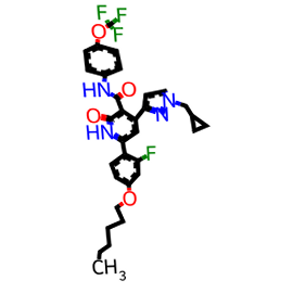 CCCCCCOc1ccc(-c2cc(-c3ccn(CC4CC4)n3)c(C(=O)Nc3ccc(OC(F)(F)F)cc3)c(=O)[nH]2)c(F)c1